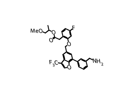 COCC(C)OC(=O)Cc1ccc(F)cc1OCc1cc(-c2cccc(CN)c2)c2occ(C(F)(F)F)c2c1